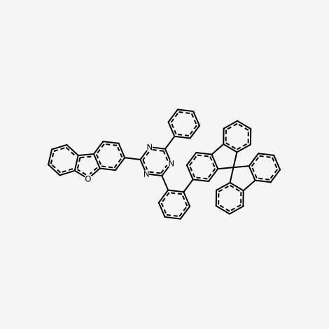 c1ccc(-c2nc(-c3ccc4c(c3)oc3ccccc34)nc(-c3ccccc3-c3ccc4c(c3)C3(c5ccccc5-c5ccccc53)c3ccccc3-4)n2)cc1